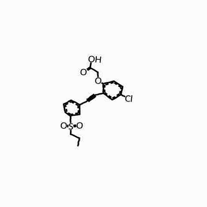 CCCS(=O)(=O)c1cccc(C#Cc2cc(Cl)ccc2OCC(=O)O)c1